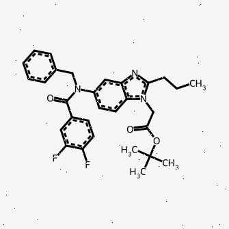 CCCc1nc2cc(N(Cc3ccccc3)C(=O)c3ccc(F)c(F)c3)ccc2n1CC(=O)OC(C)(C)C